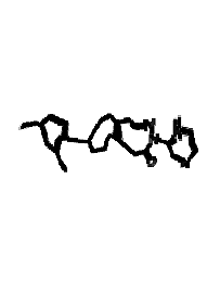 Cc1ccc(C2CCc3c(cnn(-c4cnccn4)c3=O)C2)c(C)c1